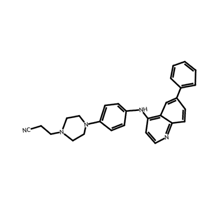 N#CCCN1CCN(c2ccc(Nc3ccnc4ccc(-c5ccccc5)cc34)cc2)CC1